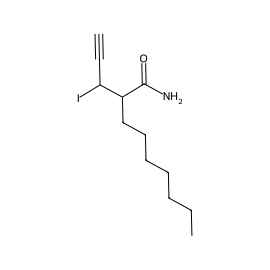 C#CC(I)C(CCCCCCC)C(N)=O